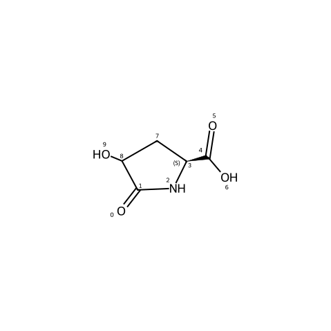 O=C1N[C@H](C(=O)O)CC1O